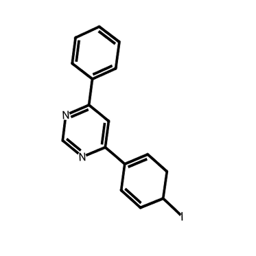 IC1C=CC(c2cc(-c3ccccc3)ncn2)=CC1